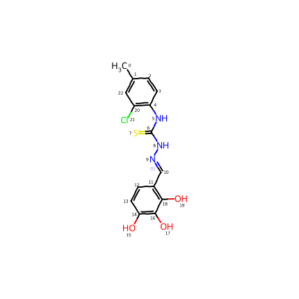 Cc1ccc(NC(=S)N/N=C/c2ccc(O)c(O)c2O)c(Cl)c1